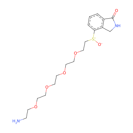 NCCOCCOCCOCCOCC[S+]([O-])c1cccc2c1CNC2=O